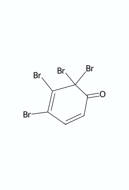 O=C1C=CC(Br)=C(Br)C1(Br)Br